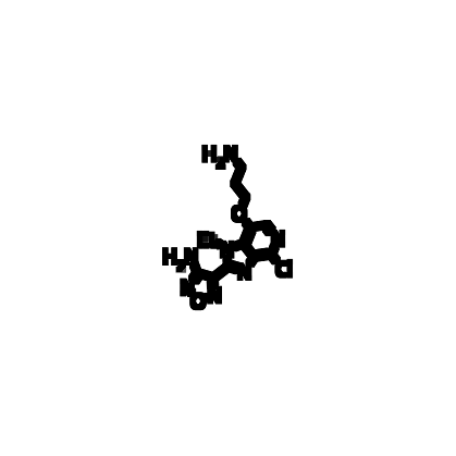 CCn1c(-c2nonc2N)nc2c(Cl)ncc(OCCCN)c21